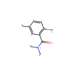 Cc1ccc(Br)c(C(=O)N(C)C)c1